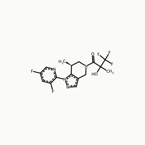 C[C@H]1CN(C(=O)C(C)(O)C(F)(F)F)Cc2cnn(-c3ncc(F)cc3F)c21